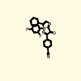 N#Cc1ccc(C2=N[N+]3(c4ccc(F)cc4F)C(c4ccccc4)=CN=C3C2=O)cc1